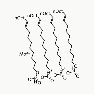 CCCCCCCCC=CCCCCCCCCO[PH](=O)[O-].CCCCCCCCC=CCCCCCCCCO[PH](=O)[O-].CCCCCCCCC=CCCCCCCCCO[PH](=O)[O-].CCCCCCCCC=CCCCCCCCCO[PH](=O)[O-].[Mo+4]